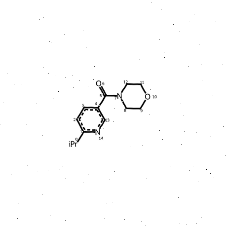 CC(C)c1ccc(C(=O)N2CCOCC2)cn1